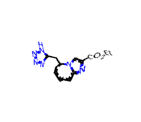 CCOC(=O)c1cn2c(Cc3nnn[nH]3)cccc2n1